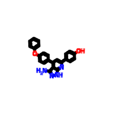 Nc1n[nH]c2nc(-c3ccc(O)cc3)cc(-c3ccc(Oc4ccccc4)cc3)c12